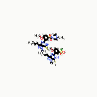 CCCc1nn(C)c2c(=S)[nH]c(-c3cc(S(=O)(=O)Cl)ccc3OC)nc12.CCCc1nn(C)c2c(=S)[nH]c(-c3cc(S(=O)(=O)N4CCN(C)CC4)ccc3OC)nc12